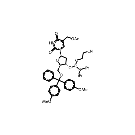 COc1ccc(C(OC[C@H]2O[C@@H](n3cc(COC(C)=O)c(=O)[nH]c3=O)C[C@@H]2OP(OCCC#N)N(C(C)C)C(C)C)(c2ccccc2)c2ccc(OC)cc2)cc1